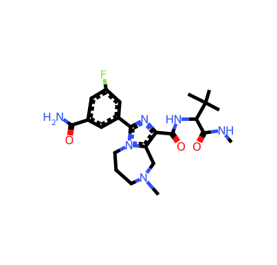 CNC(=O)C(NC(=O)c1nc(-c2cc(F)cc(C(N)=O)c2)n2c1CN(C)CCC2)C(C)(C)C